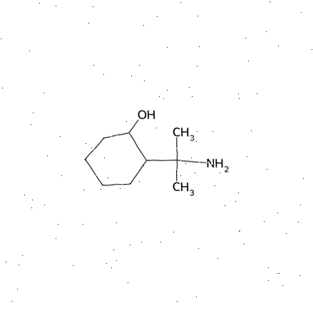 CC(C)(N)C1CCCCC1O